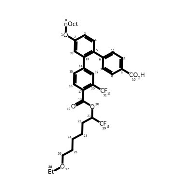 CCCCCCCCOc1ccc(-c2ccc(C(=O)O)cc2)c(-c2ccc(C(=O)OC(CCCCCOCC)C(F)(F)F)c(C(F)(F)F)c2)c1